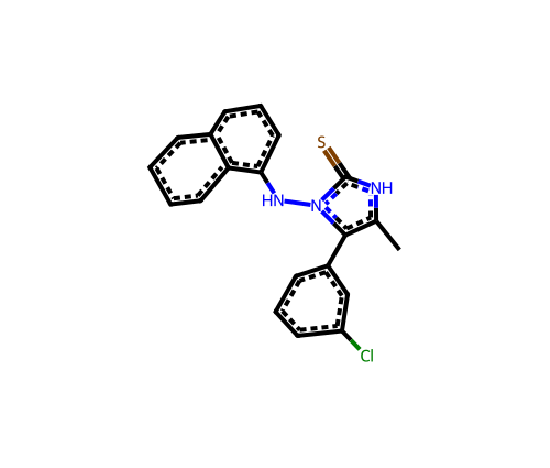 Cc1[nH]c(=S)n(Nc2cccc3ccccc23)c1-c1cccc(Cl)c1